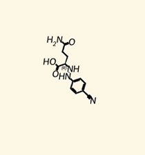 N#Cc1ccc(NN[C@H](CCC(N)=O)C(=O)O)cc1